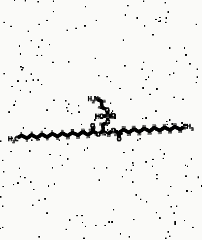 CCCCCCCCCCCCCCCC(=O)O[C@H](COC(=O)CCCCCCCCCCCCC)COP(=O)(O)OCCN